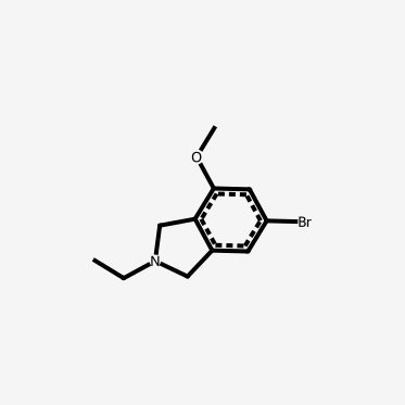 CCN1Cc2cc(Br)cc(OC)c2C1